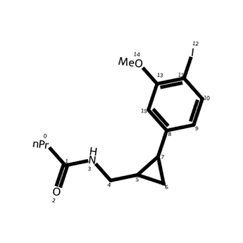 CCCC(=O)NCC1CC1c1ccc(I)c(OC)c1